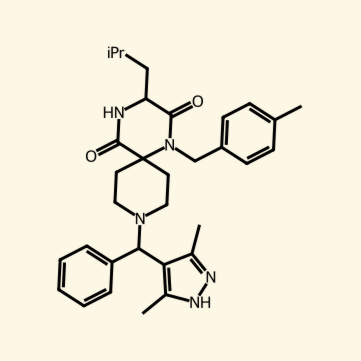 Cc1ccc(CN2C(=O)C(CC(C)C)NC(=O)C23CCN(C(c2ccccc2)c2c(C)n[nH]c2C)CC3)cc1